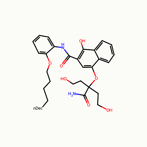 CCCCCCCCCCCCCCOc1ccccc1NC(=O)c1cc(OC(CCO)(CCO)C(N)=O)c2ccccc2c1O